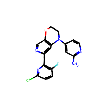 Nc1cc(N2CCOc3cnc(-c4nc(Cl)ccc4F)cc32)ccn1